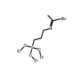 CCCCC(C)=NCCC[Si](OCC)(OCC)OCC